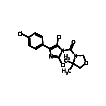 CC1(C)COCN1C(=O)n1c(Cl)nc(-c2ccc(Cl)cc2)c1Cl